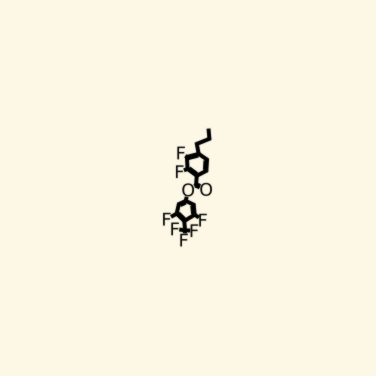 CCCc1ccc(C(=O)Oc2cc(F)c(C(F)(F)F)c(F)c2)c(F)c1F